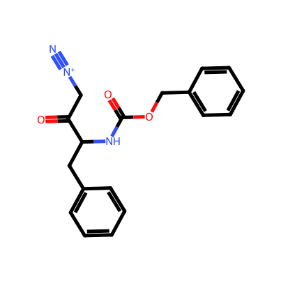 N#[N+]CC(=O)C(Cc1ccccc1)NC(=O)OCc1ccccc1